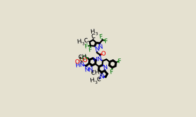 C[C@@H]1c2c(C(F)F)nn(CC(=O)NC(Cc3cc(F)cc(F)c3)c3nc4ccn(C)c4cc3-c3ccc(Cl)c4c(NS(C)(=O)=O)nn(C)c34)c2C(F)(F)[C@@H]1C